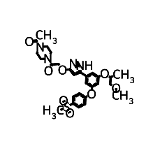 COCC(C)Oc1cc(Oc2ccc(S(C)(=O)=O)cc2)cc(-c2cc(OCC(=O)N3CCN(C(C)=O)CC3)n[nH]2)c1